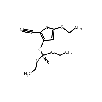 CCOP(=S)(OCC)Oc1cc(SCC)sc1C#N